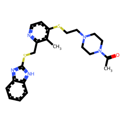 CC(=O)N1CCN(CCSc2ccnc(CSc3nc4ccccc4[nH]3)c2C)CC1